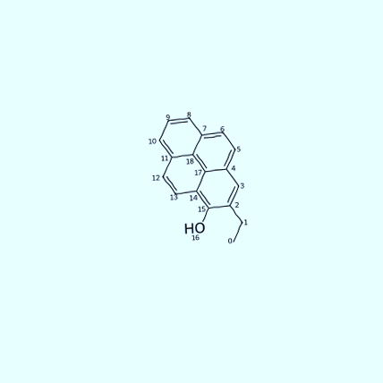 CCc1cc2ccc3cccc4ccc(c1O)c2c34